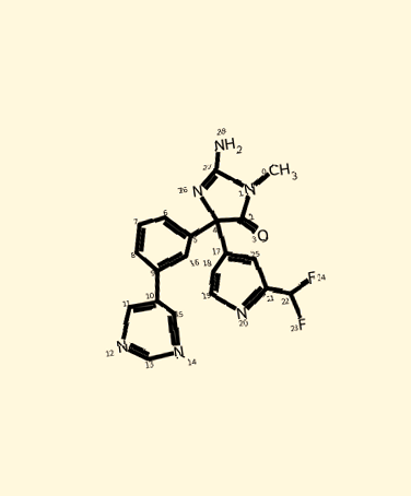 CN1C(=O)C(c2cccc(-c3cncnc3)c2)(c2ccnc(C(F)F)c2)N=C1N